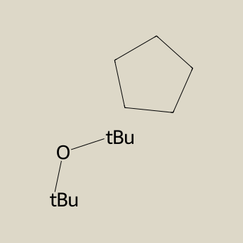 C1CCCC1.CC(C)(C)OC(C)(C)C